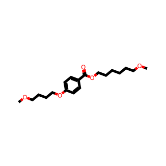 COCCCCCCOC(=O)c1ccc(OCCCCOC)cc1